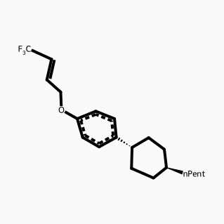 CCCCC[C@H]1CC[C@H](c2ccc(OC/C=C/C(F)(F)F)cc2)CC1